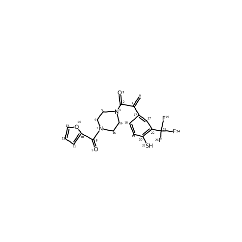 C=C(C(=O)N1CCN(C(=O)c2ccco2)CC1)c1ccc(S)c(C(F)(F)F)c1